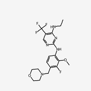 CCNc1nc(Nc2ccc(CN3CCOCC3)c(F)c2OC)ncc1C(F)(F)F